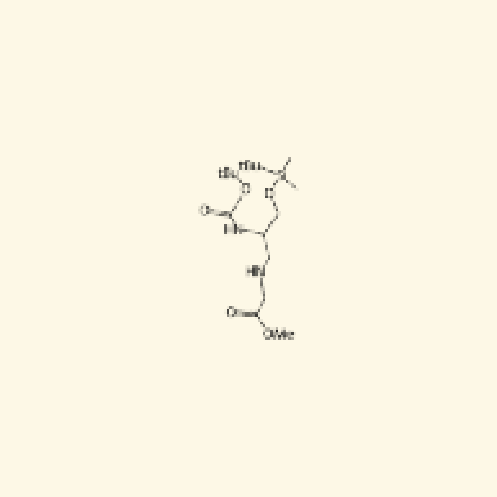 COC(=O)CNCC(CO[Si](C)(C)C(C)(C)C)NC(=O)OC(C)(C)C